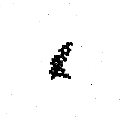 COc1cnc(C(=O)Nc2ccc(F)c([C@]3(C)C=C(C(F)F)SC(N)=N3)c2)cn1